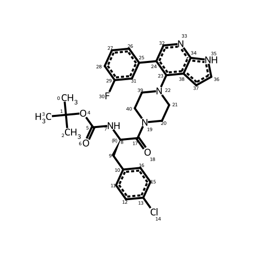 CC(C)(C)OC(=O)N[C@H](Cc1ccc(Cl)cc1)C(=O)N1CCN(c2c(-c3cccc(F)c3)cnc3[nH]ccc23)CC1